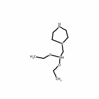 CCO[SiH](CN1CCNCC1)OCC